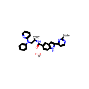 CNc1nccc(-c2cc3cc(C(=O)NC(CN(c4ccccc4)c4ccccn4)C(=O)[O-])ccc3[nH]2)n1.O.[K+]